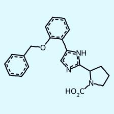 O=C(O)N1CCCC1c1ncc(-c2ccccc2OCc2ccccc2)[nH]1